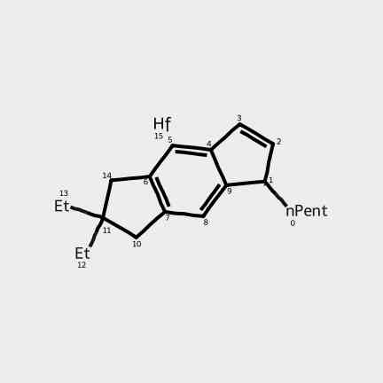 CCCCC[C]1C=Cc2cc3c(cc21)CC(CC)(CC)C3.[Hf]